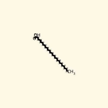 CCCCCCCCCCCCCCCCCCCCCCCC=CCCC(=O)O